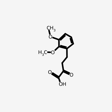 COc1cccc(CCC(=O)C(=O)O)c1OC